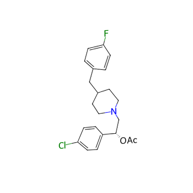 CC(=O)O[C@@H](CN1CCC(Cc2ccc(F)cc2)CC1)c1ccc(Cl)cc1